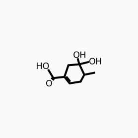 CC1CC=C(C(=O)O)CC1(O)O